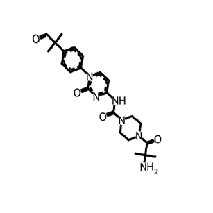 CC(C)(N)C(=O)N1CCN(C(=O)Nc2ccn(-c3ccc(C(C)(C)C=O)cc3)c(=O)n2)CC1